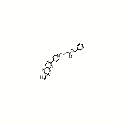 CC1(P)C=Nc2cnc(-c3cc[n+](CCCC(=O)OCc4ccccc4)cc3)nc2S1